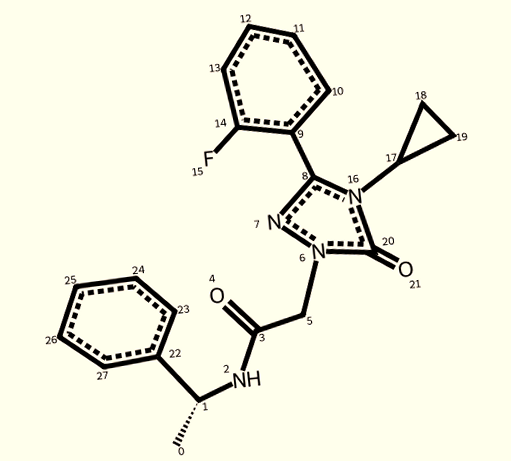 C[C@@H](NC(=O)Cn1nc(-c2ccccc2F)n(C2CC2)c1=O)c1ccccc1